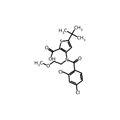 COCCN(C(=O)c1ccc(Cl)cc1Cl)c1cc(C(C)(C)C)sc1C(=O)O